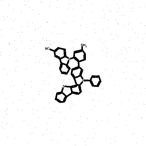 N#Cc1ccc2c(c1)c1ccccc1n2-c1cc(N)ccc1-c1ccc2c3c4sc5ccccc5c4ccc3n(-c3ccccc3)c2c1